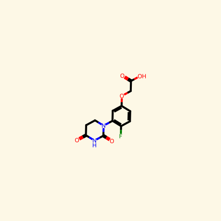 O=C(O)COc1ccc(F)c(N2CCC(=O)NC2=O)c1